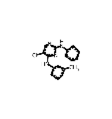 Cc1cccc(Nc2nc(Nc3ccccc3)ncc2Cl)c1